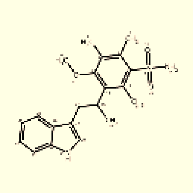 COc1c(C)c(C)c(S(N)(=O)=O)c(C)c1C(C)Cc1c[nH]c2ccccc12